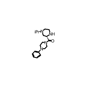 CC(C)N1CCN[C@@H](C(=O)N2CCN(c3ccccc3)CC2)C1